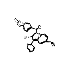 COc1ccc(C(=O)c2c(Br)c(-c3ccccc3)c3cc(C#N)ccn23)cc1